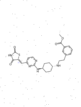 COC(=O)c1cccc(CCN[C@H]2CC[C@H](Nc3nccc(/C=C4\SC(=O)NC4=O)n3)CC2)c1